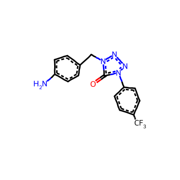 Nc1ccc(Cn2nnn(-c3ccc(C(F)(F)F)cc3)c2=O)cc1